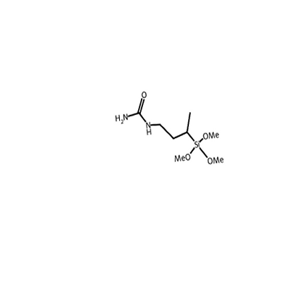 CO[Si](OC)(OC)C(C)CCNC(N)=O